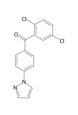 O=C(c1ccc(-n2cccn2)cc1)c1cc(Cl)ccc1Cl